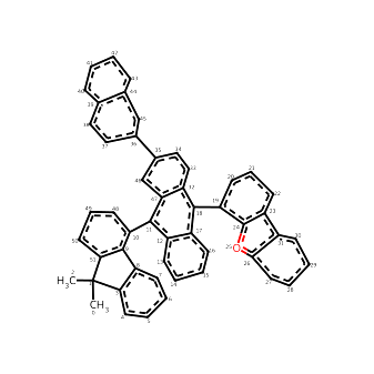 CC1(C)c2ccccc2-c2c(-c3c4ccccc4c(-c4cccc5c4oc4ccccc45)c4ccc(-c5ccc6ccccc6c5)cc34)cccc21